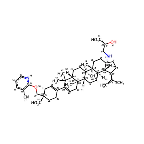 C=C(C)[C@@H]1CC[C@]2(NC[C@H](O)C(=O)O)CC[C@]3(C)[C@H](CC[C@@H]4[C@@]5(C)CC=C(C6=CC[C@](COc7ncccc7C#N)(C(=O)O)CC6)C(C)(C)[C@@H]5CC[C@]43C)[C@@H]12